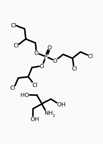 NC(CO)(CO)CO.O=P(OCC(Cl)CCl)(OCC(Cl)CCl)OCC(Cl)CCl